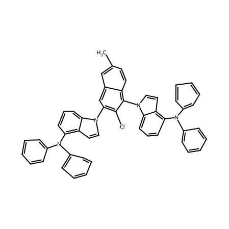 Cc1ccc2c(-n3ccc4c(N(c5ccccc5)c5ccccc5)cccc43)c(Cl)c(-n3ccc4c(N(c5ccccc5)c5ccccc5)cccc43)cc2c1